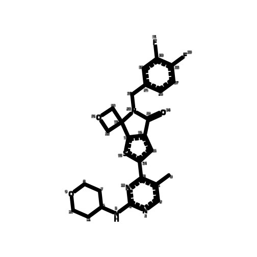 Cc1cnc(NC2CCOCC2)nc1-c1cc2c(s1)C1(COC1)N(Cc1ccc(F)c(F)c1)C2=O